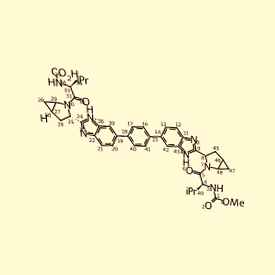 COC(=O)N[C@H](C(=O)N1C(c2nc3ccc(-c4ccc(-c5ccc6nc([C@@H]7C[C@H]8CC8N7C(=O)[C@@H](NC(=O)O)C(C)C)[nH]c6c5)cc4)cc3[nH]2)CC2CC21)C(C)C